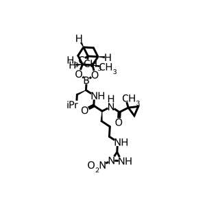 CC(C)C[C@H](NC(=O)[C@H](CCCNC1NN1[N+](=O)[O-])NC(=O)C1(C)CC1)B1O[C@@H]2C[C@@H]3C[C@@H](C3(C)C)[C@]2(C)O1